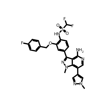 Cn1cc(-c2cnc(N)c3c(-c4ccc(NS(=O)(=O)C(F)F)c(OCc5ccc(F)cc5)c4)nn(C)c23)cn1